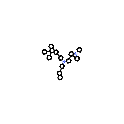 c1ccc(-c2c(-c3ccccc3)c3cc(-c4ccc(N(c5ccc(-c6ccc7ccccc7c6)cc5)c5cccc(-c6cccc7c6c6ccccc6n7-c6ccccc6)c5)cc4)ccc3c3ccccc23)cc1